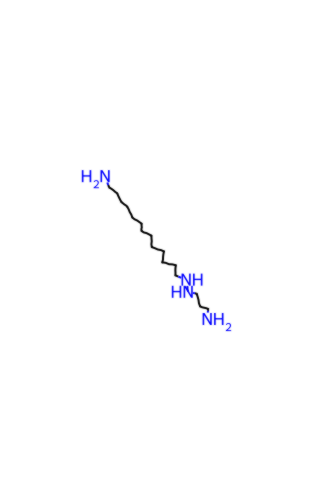 NCCCCCCCCCCCCCNNCCCN